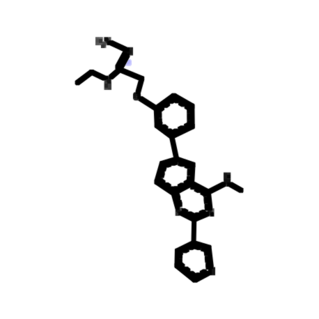 CCN/C(COc1cccc(-c2ccc3nc(-c4cccnc4)nc(NC)c3c2)c1)=N\N